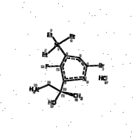 CC[Si](CC)(CC)c1cc(Br)nc([C@](C)(O)CN)c1F.Cl